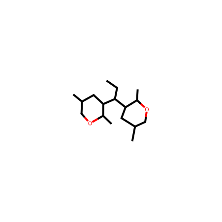 CCC(C1CC(C)COC1C)C1CC(C)COC1C